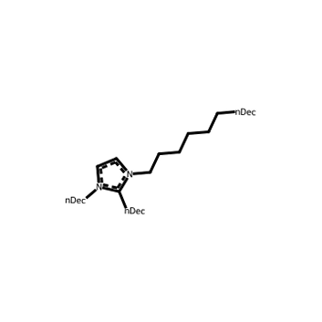 CCCCCCCCCCCCCCCCn1cc[n+](CCCCCCCCCC)c1CCCCCCCCCC